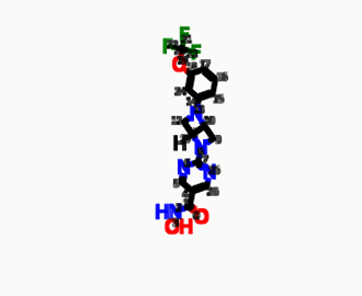 O=C(NO)c1cnc(N2CC3[C@H]2CN3c2cccc(OC(F)(F)F)c2)nc1